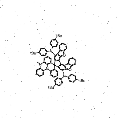 CN1c2ccccc2N2c3ccccc3C3(c4cccc1c42)c1cc(N(c2ccc(C(C)(C)C)cc2)c2ccc(C(C)(C)C)cc2)c2c(oc4ccccc42)c1-c1c3cc(N(c2ccc(C(C)(C)C)cc2)c2ccc(C(C)(C)C)cc2)c2oc3ccccc3c12